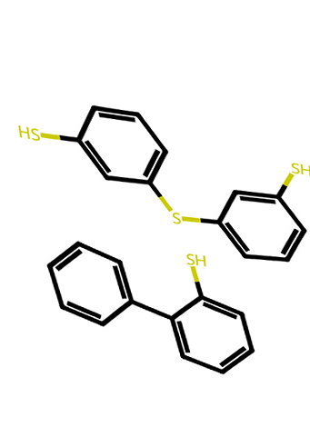 Sc1cccc(Sc2cccc(S)c2)c1.Sc1ccccc1-c1ccccc1